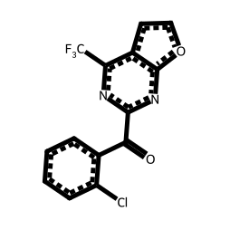 O=C(c1nc(C(F)(F)F)c2ccoc2n1)c1ccccc1Cl